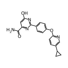 NC(=O)c1cc(O)nc(-c2ccc(Oc3ccc(C4CC4)cn3)cc2)n1